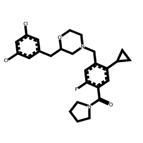 O=C(c1cc(C2CC2)c(CN2CCOC(Cc3cc(Cl)cc(Cl)c3)C2)cc1F)N1CCCC1